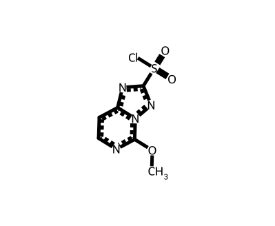 COc1nccc2nc(S(=O)(=O)Cl)nn12